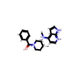 C[C@@H]1CCN(C(=O)c2ccccc2)C[C@@H]1N(C)c1ccnc2[nH]ccc12